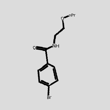 CCCOCCNC(=O)c1ccc(Br)cc1